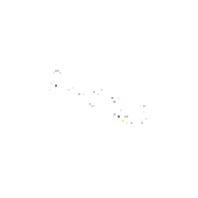 c1ccc2c(c1)c1ccccc1n2-c1ccc(-c2ccc(-n3c4ccccc4c4c(-c5ccc6c(c5)c5ccccc5n6-c5ccc6sc7ccc(-n8c9ccccc9c9ccccc98)cc7c6c5)cccc43)cc2)cc1